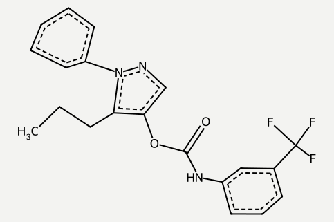 CCCc1c(OC(=O)Nc2cccc(C(F)(F)F)c2)cnn1-c1ccccc1